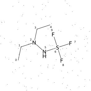 CCN(CC)NS(F)(F)F